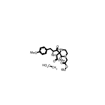 CC(=O)O.COC(=O)CC1(C(=O)[C@@H](N)Cc2ccc(OC)cc2)NCCN(CC(=O)OC(C)(C)C)C1=O